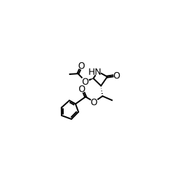 CC(=O)O[C@H]1NC(=O)[C@@H]1C(C)OC(=O)c1ccccc1